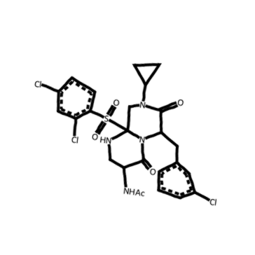 CC(=O)NC1CNC2(S(=O)(=O)c3ccc(Cl)cc3Cl)CN(C3CC3)C(=O)C(Cc3cccc(Cl)c3)N2C1=O